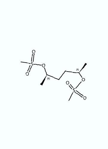 C[C@H](CC[C@@H](C)OS(C)(=O)=O)OS(C)(=O)=O